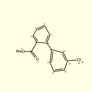 COC(=O)c1ccccc1-c1cccc(C(F)(F)F)c1